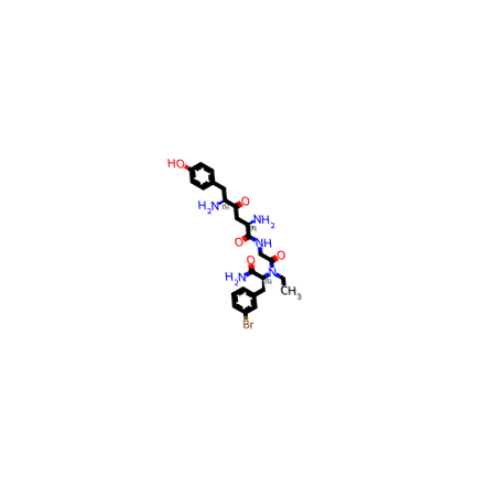 CCN(C(=O)CNC(=O)[C@H](N)CC(=O)[C@@H](N)Cc1ccc(O)cc1)[C@@H](Cc1cccc(Br)c1)C(N)=O